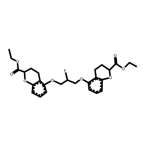 CCOC(=O)C1CCc2c(OCC(F)COc3cccc4c3CCC(C(=O)OCC)O4)cccc2O1